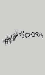 COc1ccc(-c2ccc(OC(=O)OCC(F)(F)OC(F)(F)C(F)(F)OC(F)(F)C(F)(C(F)(F)F)C(F)(F)F)cc2)cc1